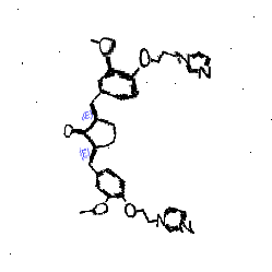 COc1cc(/C=C2\CC/C(=C\c3ccc(OCCn4ccnc4)c(OC)c3)C2=O)ccc1OCCn1ccnc1